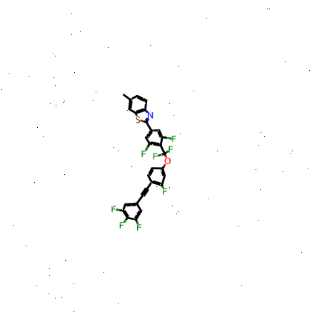 Cc1ccc2nc(-c3cc(F)c(C(F)(F)Oc4ccc(C#Cc5cc(F)c(F)c(F)c5)c(F)c4)c(F)c3)sc2c1